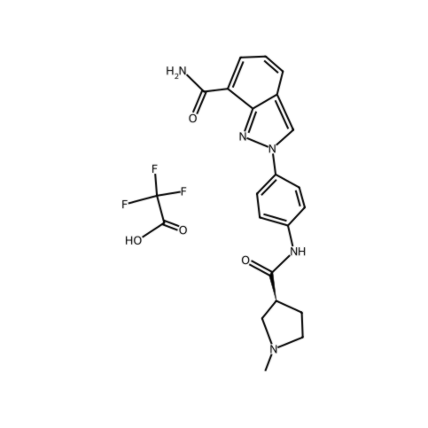 CN1CC[C@H](C(=O)Nc2ccc(-n3cc4cccc(C(N)=O)c4n3)cc2)C1.O=C(O)C(F)(F)F